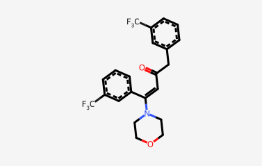 O=C(/C=C(\c1cccc(C(F)(F)F)c1)N1CCOCC1)Cc1cccc(C(F)(F)F)c1